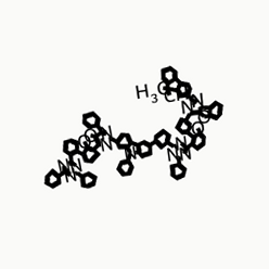 CC1(C)c2ccccc2-c2ccc(-c3nc(-c4cccc5c4oc4cccc(-c6nc(-c7ccccc7)nc(-c7cccc(-c8ccc9c(c8)c8ccc(-c%10nc(-c%11cccc%12c%11oc%11cccc(-c%13nc(-c%14ccccc%14)nc(-c%14ccccc%14)n%13)c%11%12)c%11oc%12ccccc%12c%11n%10)cc8n9-c8ccccc8)c7)n6)c45)c4oc5ccccc5c4n3)cc21